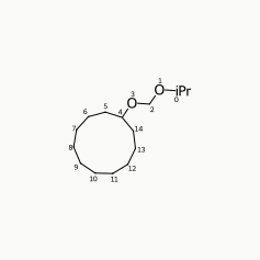 CC(C)OCOC1CCCCCCCCCC1